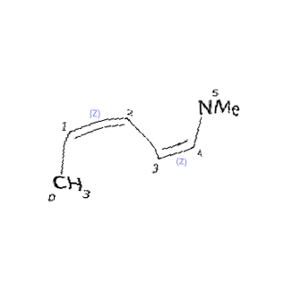 C/C=C\C=C/NC